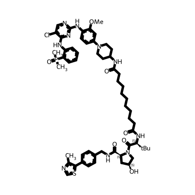 COc1cc(N2CCC(NC(=O)CCCCCCCCCC(=O)N[C@H](C(=O)N3C[C@@H](O)C[C@H]3C(=O)NCc3ccc(-c4scnc4C)cc3)C(C)(C)C)CC2)ccc1Nc1ncc(Cl)c(Nc2ccccc2P(C)(C)=O)n1